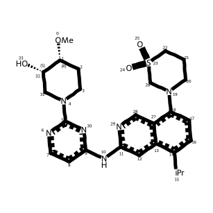 CO[C@@H]1CCN(c2nccc(Nc3cc4c(C(C)C)ccc(N5CCCS(=O)(=O)C5)c4cn3)n2)C[C@@H]1O